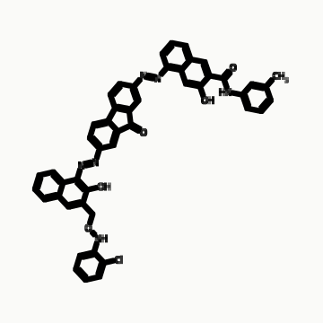 Cc1cccc(NC(=O)c2cc3cccc(N=Nc4ccc5c(c4)C(=O)c4cc(N=Nc6c(O)c(CONc7ccccc7Cl)cc7ccccc67)ccc4-5)c3cc2O)c1